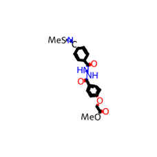 COC(=O)COc1ccc(C(=O)NNC(=O)C2C=CC(=C=NSC)C=C2)cc1